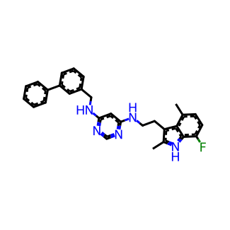 Cc1[nH]c2c(F)ccc(C)c2c1CCNc1cc(NCc2cccc(-c3ccccc3)c2)ncn1